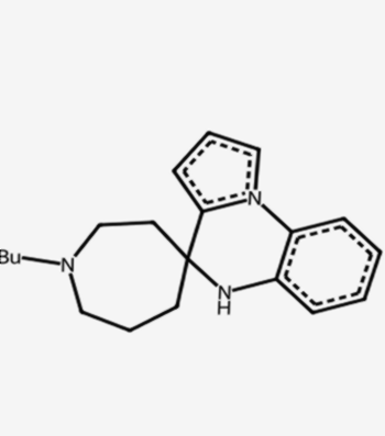 CCCCN1CCCC2(CC1)Nc1ccccc1-n1cccc12